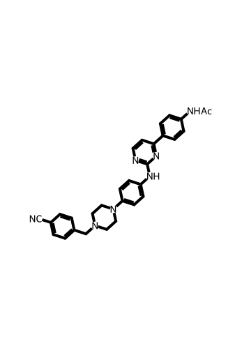 CC(=O)Nc1ccc(-c2ccnc(Nc3ccc(N4CCN(Cc5ccc(C#N)cc5)CC4)cc3)n2)cc1